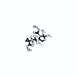 CC(C)(C)OC(=O)N1[C@@H](C(C)(C)S(=O)(=O)C2(C(=O)OC(C)(C)C)CC2)COC1(C)C